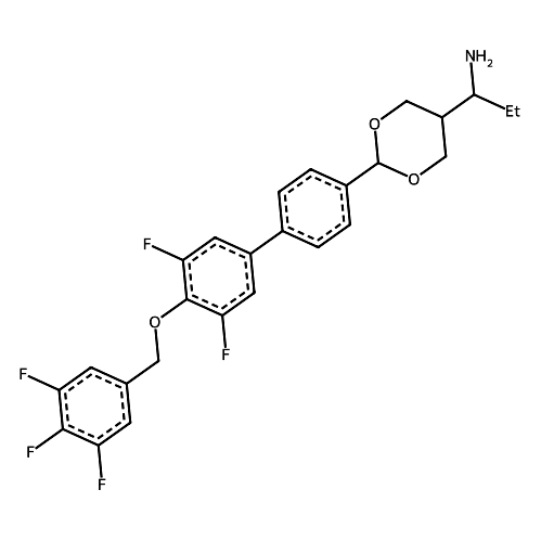 CCC(N)C1COC(c2ccc(-c3cc(F)c(OCc4cc(F)c(F)c(F)c4)c(F)c3)cc2)OC1